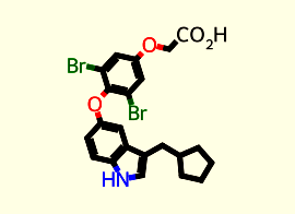 O=C(O)COc1cc(Br)c(Oc2ccc3[nH]cc(CC4CCCC4)c3c2)c(Br)c1